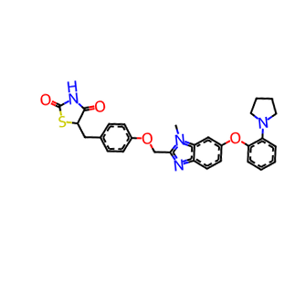 Cn1c(COc2ccc(CC3SC(=O)NC3=O)cc2)nc2ccc(Oc3ccccc3N3CCCC3)cc21